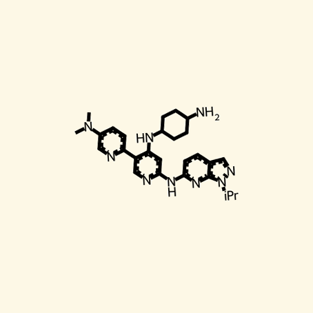 CC(C)n1ncc2ccc(Nc3cc(NC4CCC(N)CC4)c(-c4ccc(N(C)C)cn4)cn3)nc21